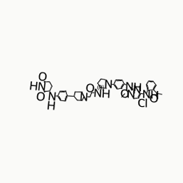 COc1cc(N2CCC[C@@H](NC(=O)CN3CCC(c4ccc(NC5CCC(=O)NC5=O)cc4)CC3)C2)ccc1Nc1ncc(Cl)c(Nc2ccccc2C(C)=O)n1